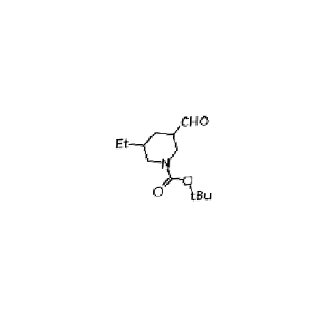 CCC1CC(C=O)CN(C(=O)OC(C)(C)C)C1